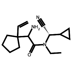 C=CC1(C(N)C(=O)N(CC)[C@H](C#N)C2CC2)CCCC1